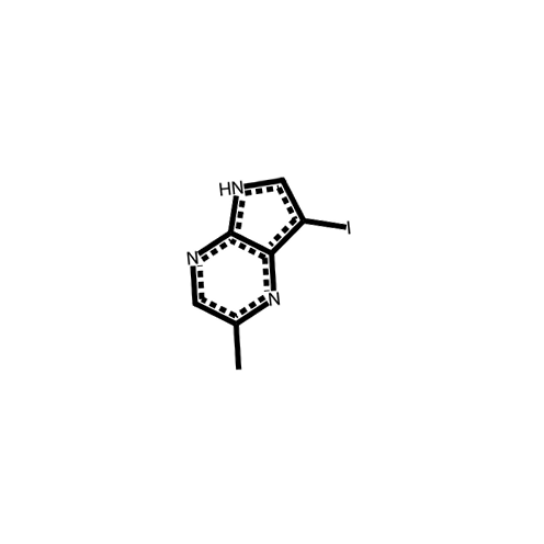 Cc1cnc2[nH]cc(I)c2n1